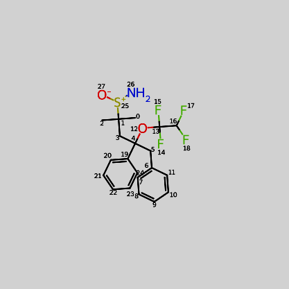 CC(C)(CC(Cc1ccccc1)(OC(F)(F)C(F)F)c1ccccc1)[S+](N)[O-]